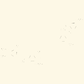 COc1ccc2c(c1)C(=O)NC(c1ccc(OCCCCCCCOc3c(OC)cc(C4=NOC(c5cc(OC)c(OC)c(OC)c5)C4)cc3OC)c(OC)c1)N2